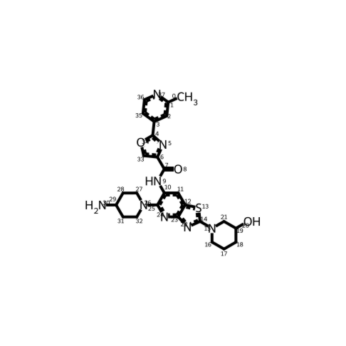 Cc1cc(-c2nc(C(=O)Nc3cc4sc(N5CCCC(O)C5)nc4nc3N3CCC(N)CC3)co2)ccn1